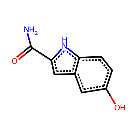 NC(=O)c1cc2cc(O)ccc2[nH]1